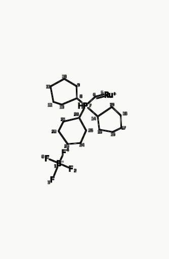 F[B-](F)(F)F.[Ru+]=[CH][PH](C1CCCCC1)(C1CCCCC1)C1CCCCC1